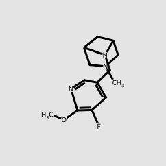 COc1ncc(CN2C3CC2CN(C)C3)cc1F